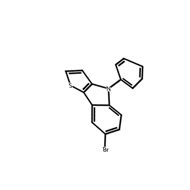 Brc1ccc2c(c1)c1sccc1n2-c1ccccc1